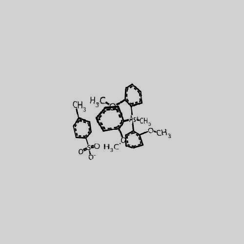 COc1ccccc1[As+](C)(c1ccccc1OC)c1ccccc1OC.Cc1ccc(S(=O)(=O)[O-])cc1